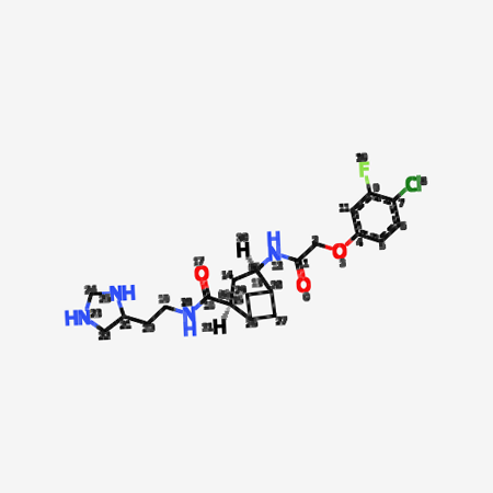 O=C(COc1ccc(Cl)c(F)c1)N[C@@H]1C[C@H](C(=O)NCCC2CNCN2)C2CC1C2